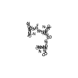 C=CC(=O)N1CCN(c2nc(OC[C@@H]3CCCN3C)nc3c2CCN(c2cc(C4C[C@@H](COc5nc6c(c(N7CCN(C(=O)C=C)[C@@H](CC#N)C7)n5)CCN(c5cc(C7CCCN(CCOc8nc9c(c(N%10CCN(C(=O)C=C)[C@@H](CC#N)C%10)n8)CCN(c8cccc%10ccccc8%10)C9)C7)cc7ccccc57)C6)CN4C)cc(F)c2C)C3)CC1CC#N